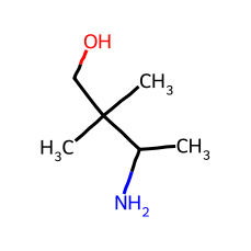 CC(N)C(C)(C)CO